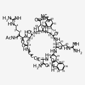 CC(=O)N[C@@H](CCCNC(=N)N)C(=O)N[C@H]1CC(=O)NCCCCC(C(N)=O)NC(=O)[C@H](Cc2c[nH]c3ccccc23)NC(=O)[C@H](CCCNC(=N)N)NC(=O)[C@@H](Cc2ccc(C#N)cc2)NC(=O)[C@H](CCC(N)=O)NC1=O